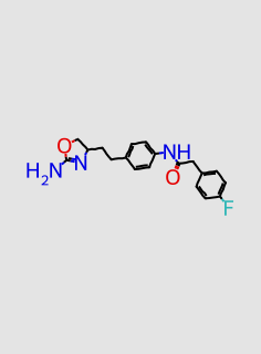 NC1=NC(CCc2ccc(NC(=O)Cc3ccc(F)cc3)cc2)CO1